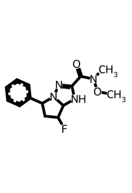 CON(C)C(=O)C1=NN2C(c3ccccc3)CC(F)C2N1